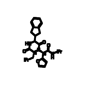 CC(C)C[C@@H]1C(=O)NC(C2Cc3ccccc3C2)C(=O)N1[C@@H](C(=O)NC(C)C)c1ccco1